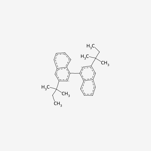 CCC(C)(C)c1[c]c(-c2[c]c(C(C)(C)CC)cc3ccccc23)c2ccccc2c1